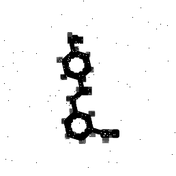 CCCCc1ccc(NSc2cccc(C=O)c2)cc1